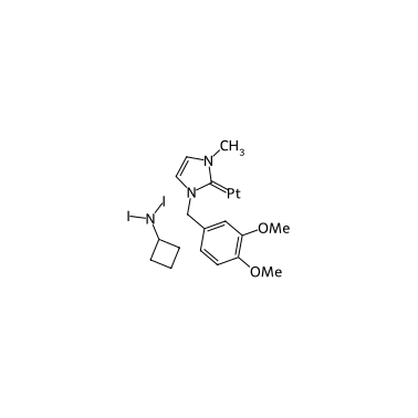 COc1ccc(Cn2ccn(C)[c]2=[Pt])cc1OC.IN(I)C1CCC1